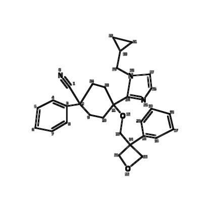 N#CC1(c2ccccc2)CCC(OCC2(c3ccccc3)COC2)(c2nccn2CC2CC2)CC1